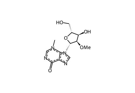 CO[C@@H]1[C@H](O)[C@@H](CO)O[C@H]1n1cnc2c(=O)ncn(C)c21